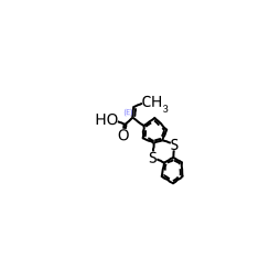 C/C=C(/C(=O)O)c1ccc2c(c1)Sc1ccccc1S2